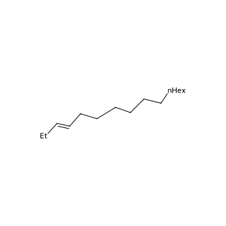 [CH2]CC=CCCCCCCCCCCCC